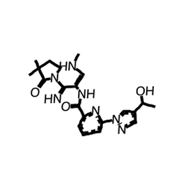 CN/C=C(/NC(=O)c1cccc(-n2cc(C(C)O)cn2)n1)C(=N)N1CCC(C)(C)C1=O